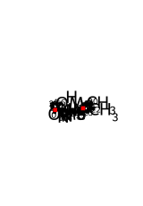 COc1cccc(OC)c1-c1cnnc(NCc2nc3cc(C)c(C)cc3s2)n1